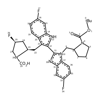 CC(C)(C)OC(=O)N1CCCC1Cn1c(-c2[nH]c3cc(F)ccc3c2C[C@@H]2C[C@H](F)CN2C(=O)O)nc2cc(F)ccc21